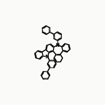 C1=CC2=C(CC1)c1ccccc1N(c1cccc(-c3ccccc3)c1)c1ccc3c4ccccc4n(-c4cccc(-c5ccccc5)c4)c3c12